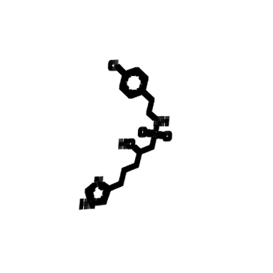 O=S(=O)(CC(O)CCCc1c[nH]cn1)NCCc1ccc(Cl)cc1